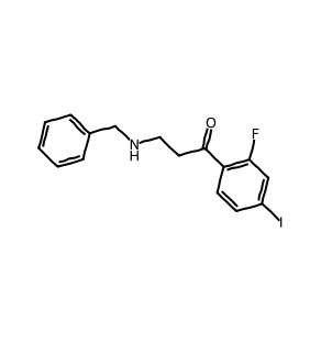 O=C(CCNCc1ccccc1)c1ccc(I)cc1F